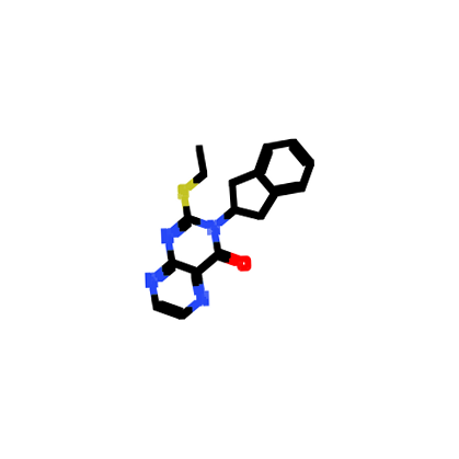 CCSc1nc2nccnc2c(=O)n1C1Cc2ccccc2C1